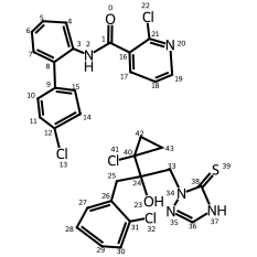 O=C(Nc1ccccc1-c1ccc(Cl)cc1)c1cccnc1Cl.OC(Cc1ccccc1Cl)(Cn1nc[nH]c1=S)C1(Cl)CC1